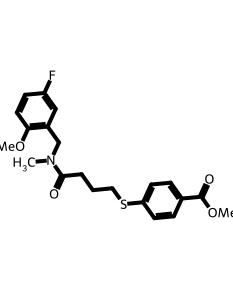 COC(=O)c1ccc(SCCCC(=O)N(C)Cc2cc(F)ccc2OC)cc1